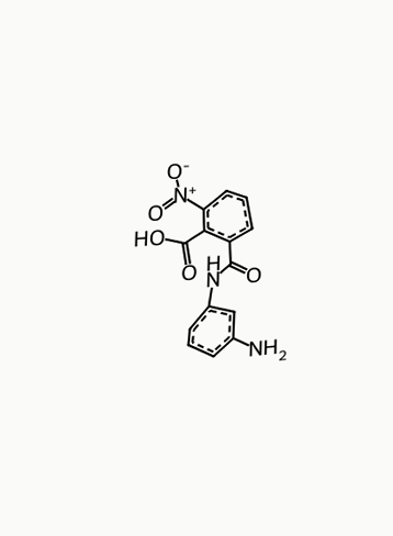 Nc1cccc(NC(=O)c2cccc([N+](=O)[O-])c2C(=O)O)c1